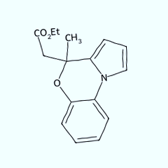 CCOC(=O)CC1(C)Oc2ccccc2-n2cccc21